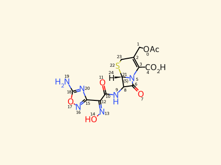 CC(=O)OCC1=C(C(=O)O)N2C(=O)C(NC(=O)C(=NO)c3noc(N)n3)[C@@H]2SC1